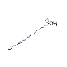 CCCC/C=C/C=C/C=C/CCCCCCCCC(=O)O